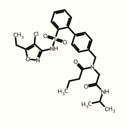 CCCC(=O)N(CC(=O)NC(C)C)Cc1ccc(-c2ccccc2S(=O)(=O)Nc2noc(CC)c2Cl)cc1